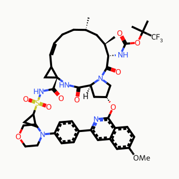 COc1ccc2c(O[C@@H]3C[C@H]4C(=O)N[C@]5(C(=O)NS(=O)(=O)C6CC6)CC5/C=C\CC[C@H](C)C[C@@H](C)[C@H](NC(=O)OC(C)(C)C(F)(F)F)C(=O)N4C3)nc(-c3ccc(N4CCOCC4)cc3)cc2c1